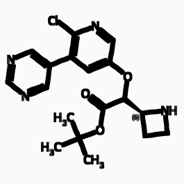 CC(C)(C)OC(=O)C(Oc1cnc(Cl)c(-c2cncnc2)c1)[C@@H]1CCN1